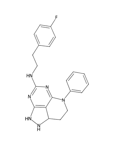 Fc1ccc(CCNc2nc3c4c(n2)N(c2ccccc2)CCC4NN3)cc1